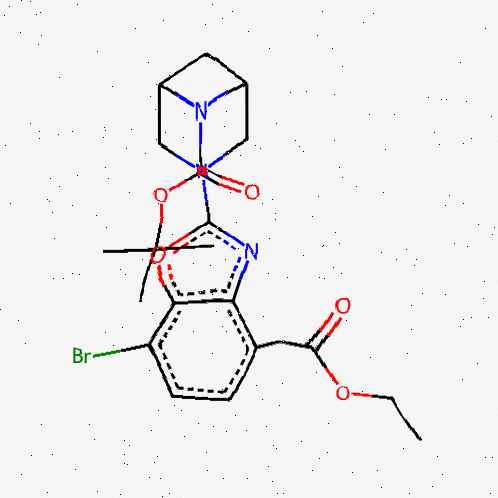 CCOC(=O)c1ccc(Br)c2oc(N3CC4CC(C3)N4C(=O)OC(C)(C)C)nc12